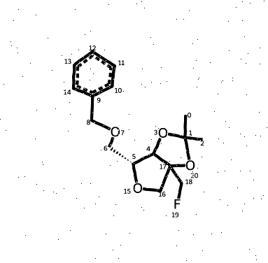 CC1(C)OC2[C@@H](COCc3ccccc3)OCC2(CF)O1